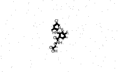 Cc1cc(Cl)cnc1Nc1c(C(=O)NOCC(=O)O)ccc(F)c1F